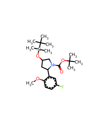 COc1ccc(F)cc1C1CC(O[Si](C)(C)C(C)(C)C)CN1C(=O)OC(C)(C)C